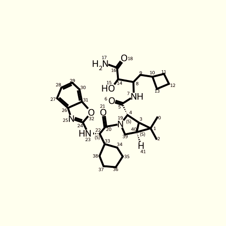 CC1(C)C2[C@@H](C(=O)NC(CC3CCC3)C(O)C(N)=O)N(C(=O)[C@@H](Nc3nc4ccccc4o3)C3CCCCC3)C[C@@H]21